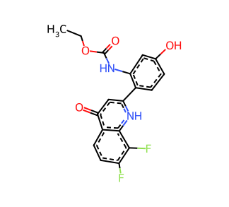 CCOC(=O)Nc1cc(O)ccc1-c1cc(=O)c2ccc(F)c(F)c2[nH]1